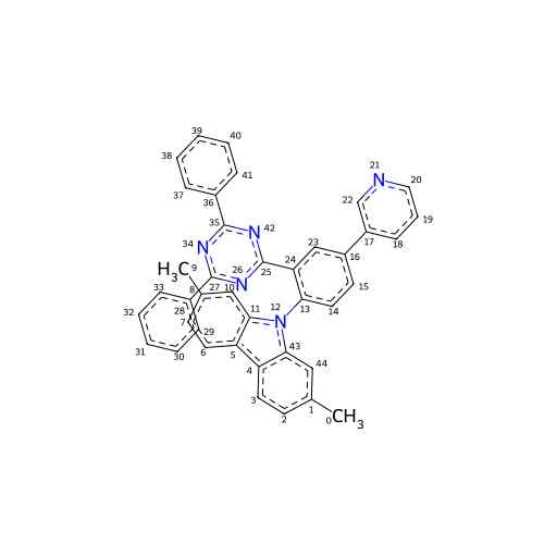 Cc1ccc2c3ccc(C)cc3n(-c3ccc(-c4cccnc4)cc3-c3nc(-c4ccccc4)nc(-c4ccccc4)n3)c2c1